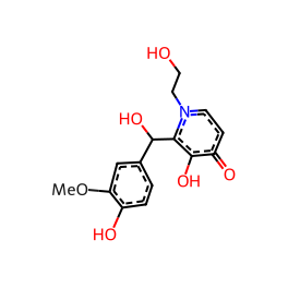 COc1cc(C(O)c2c(O)c(=O)ccn2CCO)ccc1O